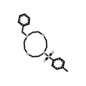 Cc1ccc(S(=O)(=O)N2CCOCCN(Cc3ccccc3)CCOCC2)cc1